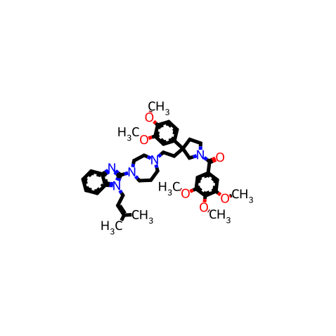 COc1ccc(C2(CCN3CCCN(c4nc5ccccc5n4CC=C(C)C)CC3)CCN(C(=O)c3cc(OC)c(OC)c(OC)c3)C2)cc1OC